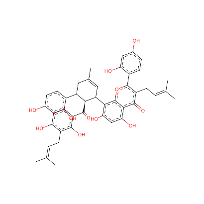 CC(C)=CCc1c(O)ccc(C(=O)[C@@H]2C(c3c(O)cc(O)c4c(=O)c(CC=C(C)C)c(-c5ccc(O)cc5O)oc34)C=C(C)CC2c2ccc(O)cc2O)c1O